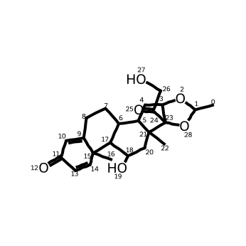 CC1OC2CC3C4CCC5=CC(=O)C=CC5(C)C4C(O)CC3(C)C2(C(=O)CO)O1